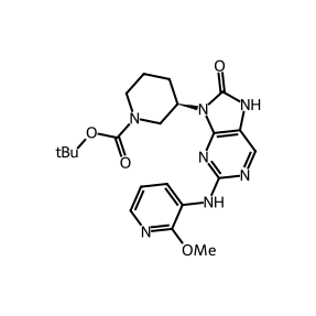 COc1ncccc1Nc1ncc2[nH]c(=O)n([C@@H]3CCCN(C(=O)OC(C)(C)C)C3)c2n1